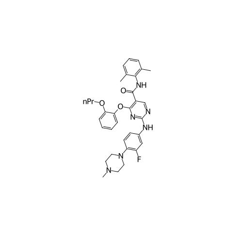 CCCOc1ccccc1Oc1nc(Nc2ccc(N3CCN(C)CC3)c(F)c2)ncc1C(=O)Nc1c(C)cccc1C